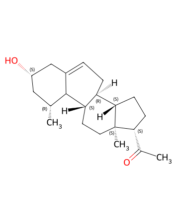 CC(=O)[C@H]1CC[C@H]2[C@@H]3CC=C4C[C@@H](O)C[C@@H](C)C4[C@H]3CC[C@]12C